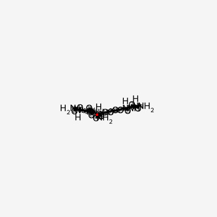 NCC(=O)NCC(=O)NCC(=O)NCCOCCOCCOCCOCCC(=O)N[C@@H](CNC1CC(=O)N(CCCCCC(=O)NCC(N)=O)C1=O)C(N)=O